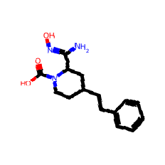 NC(=NO)C1CC(CCc2ccccc2)CCN1C(=O)O